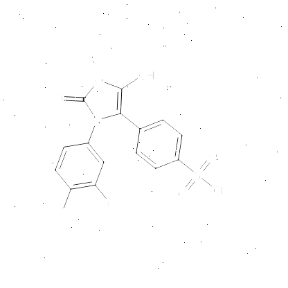 Cc1oc(=O)n(-c2ccc(Cl)c(Cl)c2)c1-c1ccc(S(C)(=O)=O)cc1